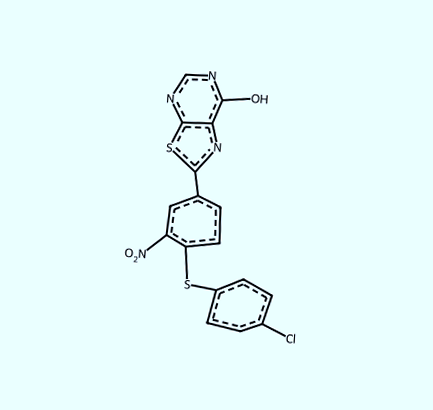 O=[N+]([O-])c1cc(-c2nc3c(O)ncnc3s2)ccc1Sc1ccc(Cl)cc1